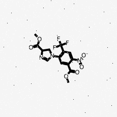 COC(=O)c1cc(N2C=NC(C(=O)OC)C2)c(C(F)(F)F)cc1[N+](=O)[O-]